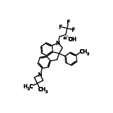 Cc1cccc(C2(Cc3cccc(N4CC(C)(C)C4)c3)CN(C[C@@H](O)C(F)(F)F)c3ccccc32)c1